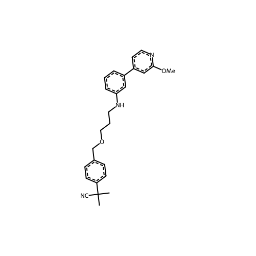 COc1cc(-c2cccc(NCCCOCc3ccc(C(C)(C)C#N)cc3)c2)ccn1